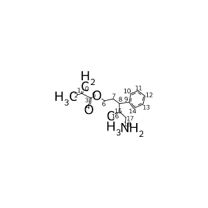 C=C(C)C(=O)OCCC(c1ccccc1)C(C)CN